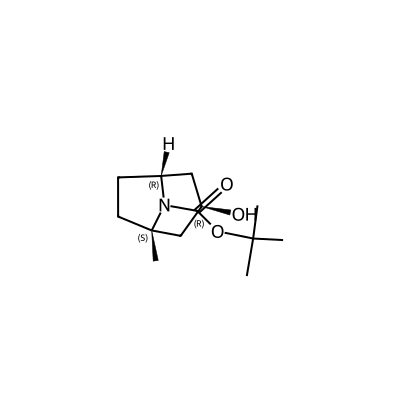 CC(C)(C)OC(=O)N1[C@@H]2CC[C@@]1(C)C[C@H](O)C2